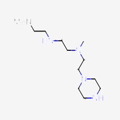 CNCCNCCN(C)CCN1CCNCC1